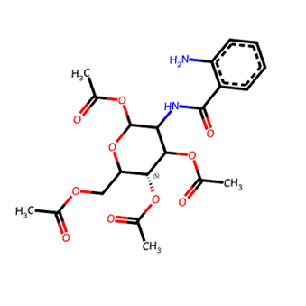 CC(=O)OCC1OC(OC(C)=O)C(NC(=O)c2ccccc2N)C(OC(C)=O)[C@@H]1OC(C)=O